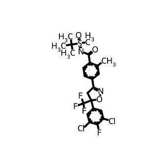 Cc1cc(C2=NOC(c3cc(Cl)c(F)c(Cl)c3)(C(F)(F)F)C2)ccc1C(=O)N=S(C)(=O)C(C)(C)C